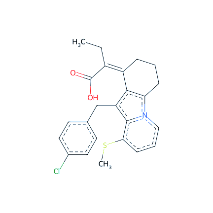 CC/C(C(=O)O)=C1\CCCc2c1c(Cc1ccc(Cl)cc1)c1c(SC)cccn21